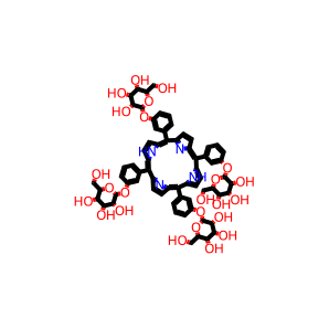 OCC1OC(Oc2cccc(-c3c4nc(c(-c5cccc(OC6OC(CO)C(O)C(O)C6O)c5)c5ccc([nH]5)c(-c5cccc(OC6OC(CO)C(O)C(O)C6O)c5)c5nc(c(-c6cccc(OC7OC(CO)C(O)C(O)C7O)c6)c6ccc3[nH]6)C=C5)C=C4)c2)C(O)C(O)C1O